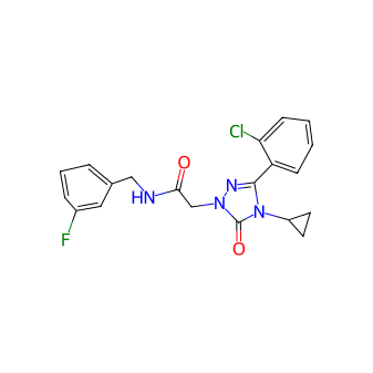 O=C(Cn1nc(-c2ccccc2Cl)n(C2CC2)c1=O)NCc1cccc(F)c1